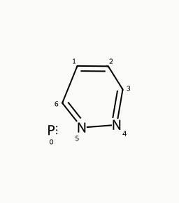 [P].c1ccnnc1